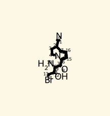 N#CC1CCn2c(C(=O)[C@@H](N)[C@H](O)CBr)ccc21